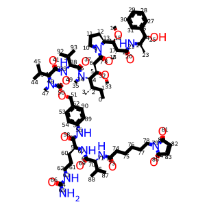 CC[C@H](C)[C@@H]([C@@H](CC(=O)N1CCC[C@H]1[C@H](OC)[C@@H](C)C(=O)N[C@H](C)[C@@H](O)c1ccccc1)OC)N(C)C(=O)[C@@H](NC(=O)C(C(C)C)N(C)C(=O)OCc1ccc(NC(=O)[C@H](CCCNC(N)=O)NC(=O)[C@H](NC(=O)CCCCCN2C(=O)C=CC2=O)C(C)C)cc1)C(C)C